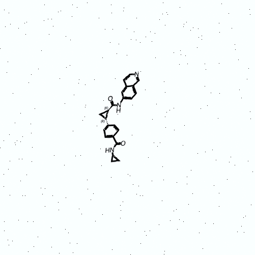 O=C(NC1CC1)c1ccc([C@@H]2C[C@H]2C(=O)Nc2ccc3cnccc3c2)cc1